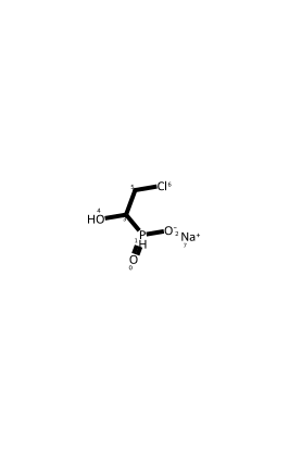 O=[PH]([O-])C(O)CCl.[Na+]